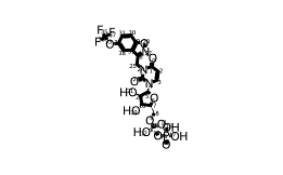 O=c1ccn([C@@H]2O[C@H](COP(=O)(O)OP(=O)(O)O)[C@H](O)[C@@H]2O)c(=O)n1Cc1noc2ccc(OC(F)(F)F)cc12